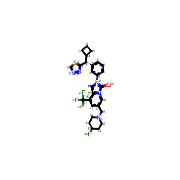 O=c1n(-c2cccc([C@H](c3nncs3)C3CCC3)c2)cc2c(C(F)(F)F)cc(CN3CCC(F)CC3)cn12